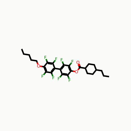 CCCCCOc1c(F)c(F)c(-c2c(F)c(F)c(OC(=O)C3CCC(CCC)CC3)c(F)c2F)c(F)c1F